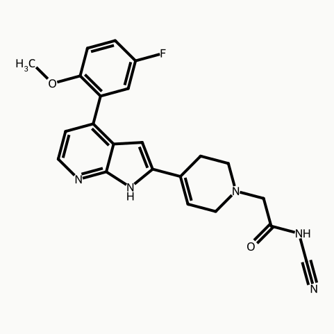 COc1ccc(F)cc1-c1ccnc2[nH]c(C3=CCN(CC(=O)NC#N)CC3)cc12